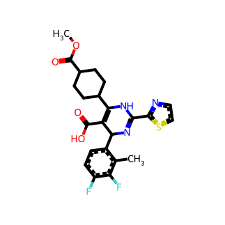 COC(=O)C1CCC(C2=C(C(=O)O)C(c3ccc(F)c(F)c3C)N=C(c3nccs3)N2)CC1